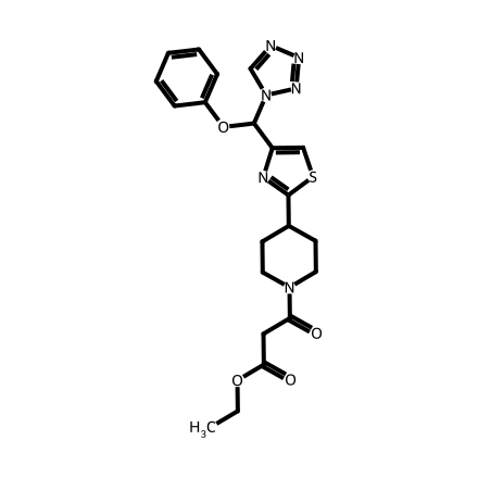 CCOC(=O)CC(=O)N1CCC(c2nc(C(Oc3ccccc3)n3cnnn3)cs2)CC1